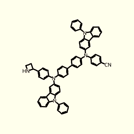 N#Cc1ccc(N(c2ccc(-c3ccc(N(c4ccc(C5CCN5)cc4)c4ccc5c(c4)c4ccccc4n5-c4ccccc4)cc3)cc2)c2ccc3c(c2)c2ccccc2n3-c2ccccc2)cc1